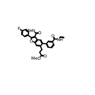 C=CNC(=O)c1cccc(-c2cc3c(C(=O)NC)c(-c4ccc(F)cc4)oc3cc2CCC(=O)OC)c1